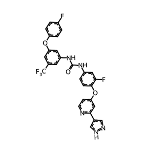 O=C(Nc1cc(Oc2ccc(F)cc2)cc(C(F)(F)F)c1)Nc1ccc(Oc2ccnc(-c3cn[nH]c3)c2)c(F)c1